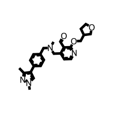 Cc1nn(C)cc1-c1ccc(CN(C)Cc2ccnc(OCC3CCOC3)c2C=O)cc1